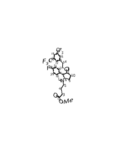 COC(=O)CCCN(C)C1CCC(OCCc2cc(C(F)(F)F)cc(C(F)(F)F)c2)C1c1ccc(F)cc1